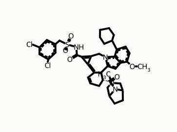 COc1ccc(C2CCCCC2)c2c1cc1n2CC2=C(C(=O)NS(=O)(=O)Cc3cc(Cl)cc(Cl)c3)C2=C2C=CC[C@@H](C(=O)N3C4CCC3CN(C)C4)C21